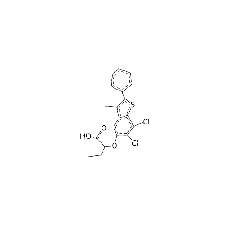 CCC(Oc1cc2c(C)c(-c3ccccc3)sc2c(Cl)c1Cl)C(=O)O